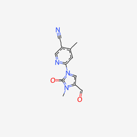 Cc1cc(-n2cc(C=O)n(C)c2=O)ncc1C#N